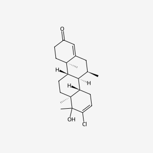 C[C@@H]1CC2=CC(=O)CC[C@]2(C)[C@H]2CC[C@@]3(C)[C@@H](CC=C(Cl)C3(C)O)[C@H]12